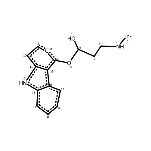 CC(C)NCCC(O)Oc1cccc2[nH]c3ccccc3c12